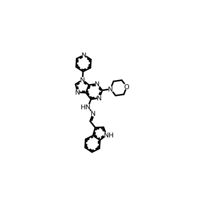 C(=N\Nc1nc(N2CCOCC2)nc2c1ncn2-c1ccncc1)/c1c[nH]c2ccccc12